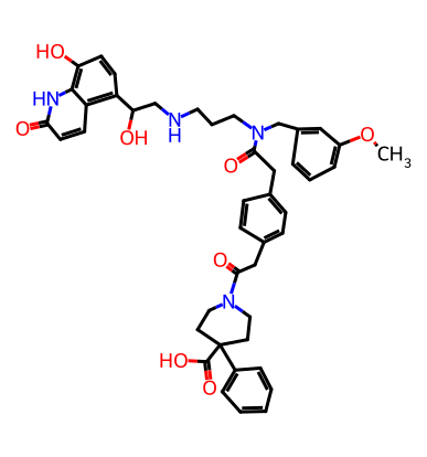 COc1cccc(CN(CCCNCC(O)c2ccc(O)c3[nH]c(=O)ccc23)C(=O)Cc2ccc(CC(=O)N3CCC(C(=O)O)(c4ccccc4)CC3)cc2)c1